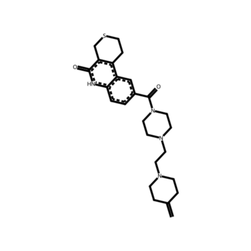 C=C1CCN(CCN2CCN(C(=O)c3ccc4[nH]c(=O)c5c(c4c3)CCSC5)CC2)CC1